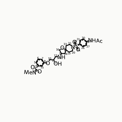 CNS(=O)(=O)c1cccc(OCC(O)CNC2COC3(CCN(S(=O)(=O)c4ccc(NC(C)=O)cc4)CC3)C2)c1